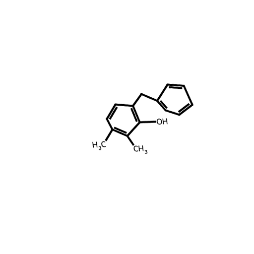 Cc1ccc(Cc2ccccc2)c(O)c1C